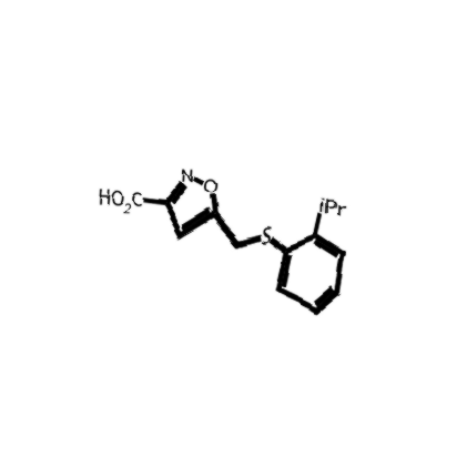 CC(C)c1ccccc1SCc1cc(C(=O)O)no1